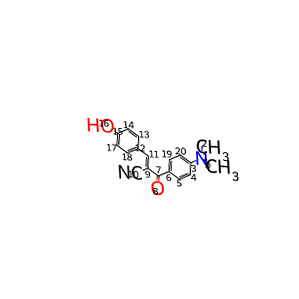 CN(C)c1ccc(C(=O)C(C#N)=Cc2ccc(O)cc2)cc1